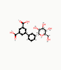 O=C(O)c1cc(C(=O)O)cc(-c2cccc([C@H]3O[C@H](CO)[C@@H](O)[C@H](O)[C@@H]3O)c2)c1